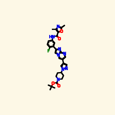 Cc1nc(C)c(C(=O)Nc2ccc(F)c(-c3cn4cc(-c5cnn(C6CCN(C(=O)OC(C)(C)C)CC6)c5)cnc4n3)c2)o1